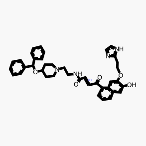 O=C(/C=C/C(=O)c1cccc2cc(O)c(OCCc3ncc[nH]3)cc12)NCCN1CCC(OC(c2ccccc2)c2ccccc2)CC1